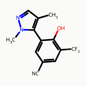 Cc1cnn(C)c1-c1cc(C#N)cc(C(F)(F)F)c1O